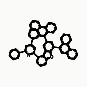 c1ccc(-c2cc(-c3ccccc3)nc(-c3cccc4oc5c(-c6cc7ccccc7c7ccccc67)cc(-c6cc7ccccc7c7ccccc67)cc5c34)c2)cc1